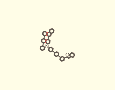 c1ccc(-c2ccc(-c3ccccc3N(c3ccc(-c4ccc(-c5cccc(-c6cc7ccccc7o6)c5)cc4)cc3)c3ccc(-c4ccc5ccccc5c4)cc3)cc2)cc1